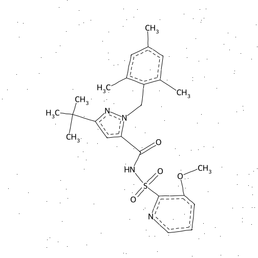 COc1cccnc1S(=O)(=O)NC(=O)c1cc(C(C)(C)C)nn1Cc1c(C)cc(C)cc1C